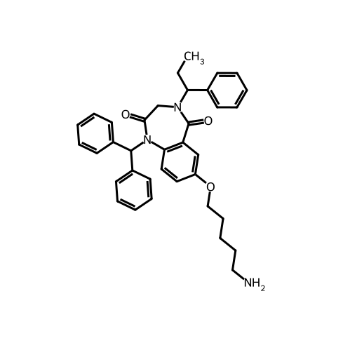 CCC(c1ccccc1)N1CC(=O)N(C(c2ccccc2)c2ccccc2)c2ccc(OCCCCCN)cc2C1=O